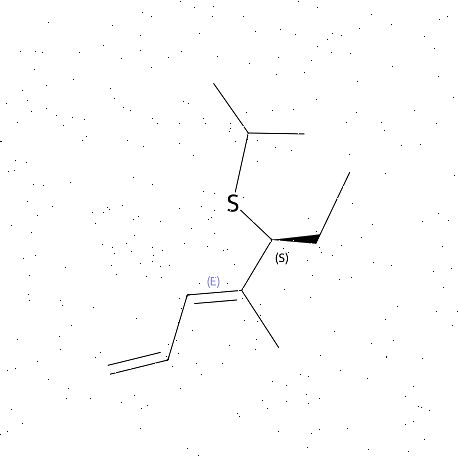 C=C/C=C(\C)[C@H](CC)SC(C)C